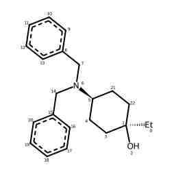 CC[C@]1(O)CC[C@@H](N(Cc2ccccc2)Cc2ccccc2)CC1